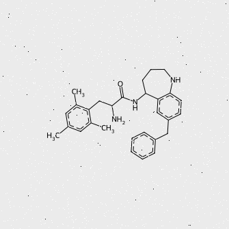 Cc1cc(C)c(CC(N)C(=O)NC2CCCNc3ccc(Cc4ccccc4)cc32)c(C)c1